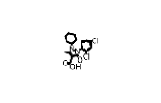 Cc1c(C(=O)O)c(=O)n(-c2ccc(Cl)cc2Cl)n1C1CCCCC1